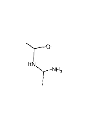 CC(N)NC(C)[O]